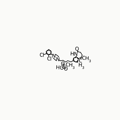 CC1(C)CCC(=O)Nc2cc(CCCCCN3CCN(c4cccc(Cl)c4Cl)CC3)ccc21.CS(=O)(=O)O